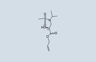 C=CCOC(=O)[C@@H](O)CN(C(C)C)S(C)(=O)=O